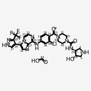 O=C(N[C@H]1CNC[C@@H]1O)N1CCN(C(=O)c2ccc(Nc3nccn4c(-c5c[nH]nc5C(F)(F)F)cnc34)cc2Cl)CC1.O=CO